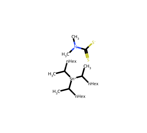 CCCCCC[CH](C)[Sn+]([CH](C)CCCCCC)[CH](C)CCCCCC.CN(C)C(=S)[S-]